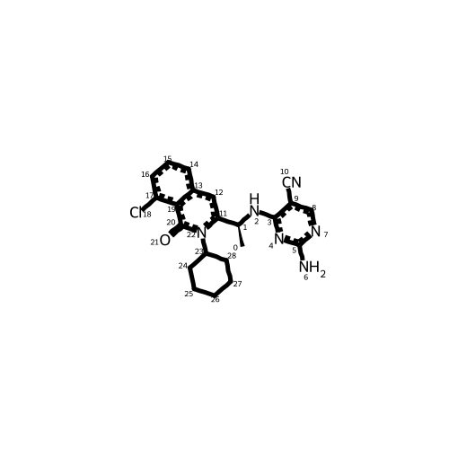 C[C@H](Nc1nc(N)ncc1C#N)c1cc2cccc(Cl)c2c(=O)n1C1CCCCC1